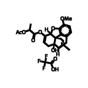 COc1ccc2c3c1O[C@H]1C(OC(=O)C(C)OC(C)=O)=CC[C@@]4(O)[C@@H](C2)N(C)CC[C@]314.O=C(O)C(F)(F)F